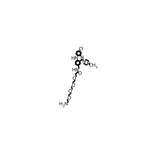 CN1CCN(C2=Nc3cc(Cl)ccc3Nc3ccc(CNC(=O)CCOCCOCCOCCOCCN)cc32)CC1